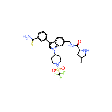 C[C@@H]1CN[C@H](C(=O)NCc2ccc3c(-c4cccc(C(N)=S)c4)cn(C4CCN(S(=O)(=O)C(F)(F)F)CC4)c3c2)C1